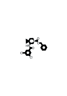 O=C(NC1CN(C(=O)OCc2ccccc2)CCC12CC2)c1cc(Cl)cc(Cl)c1